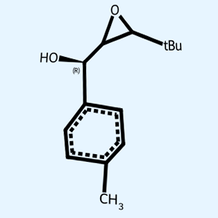 Cc1ccc([C@@H](O)C2OC2C(C)(C)C)cc1